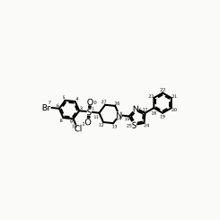 O=S(=O)(c1ccc(Br)cc1Cl)C1CCN(c2nc(-c3ccccc3)cs2)CC1